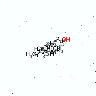 C/C=C(\C)[C@H]1CC[C@H]2[C@@H]3CC=C4C[C@@H](O)CC[C@]4(C)[C@H]3CC[C@]12C